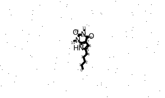 CCCCCc1cc2c(=O)n(C)c(=O)n(C)c2[nH]1